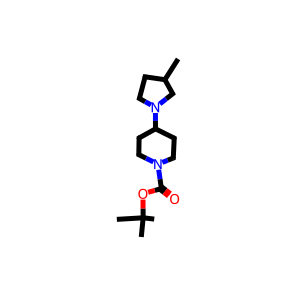 CC1CCN(C2CCN(C(=O)OC(C)(C)C)CC2)C1